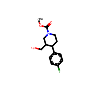 CCCCOC(=O)N1CCC(c2ccc(F)cc2)C(CO)C1